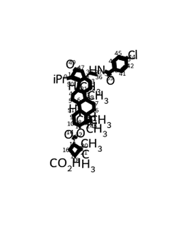 CC(C)C1=C2[C@H]3CC[C@@H]4[C@@]5(C)CC[C@H](OC(=O)[C@H]6C[C@@H](C(=O)O)C6(C)C)C(C)(C)[C@@H]5CC[C@@]4(C)[C@]3(C)CC[C@@]2(CCNC(=O)c2ccc(Cl)cc2)CC1=O